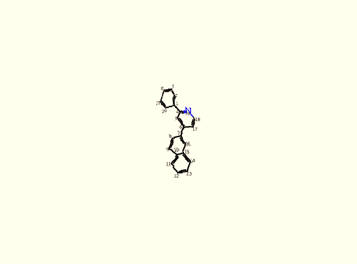 c1ccc(-c2cc(-c3ccc4ccccc4c3)ccn2)cc1